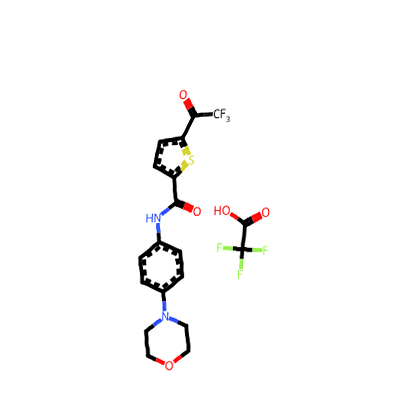 O=C(Nc1ccc(N2CCOCC2)cc1)c1ccc(C(=O)C(F)(F)F)s1.O=C(O)C(F)(F)F